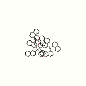 c1ccc(C2(C3(c4ccccc4)c4ccc5ccccc5c4-c4c3cc(N(c3cccc5ccccc35)c3cccc5ccccc35)c3ccccc43)c3ccc4ccccc4c3-c3c2cc(N(c2cccc4ccccc24)c2cccc4ccccc24)c2ccccc32)cc1